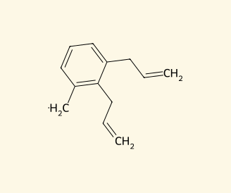 [CH2]c1cccc(CC=C)c1CC=C